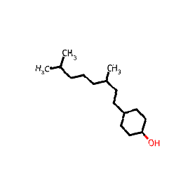 CC(C)CCCC(C)CCC1CCC(O)CC1